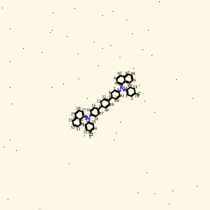 FC1=CC=C(N(C2=CCC(C3=CCC(c4ccc(N(c5ccc(F)cc5)c5cccc6ccccc56)cc4)C=C3)C=C2)c2cccc3ccccc23)CC1